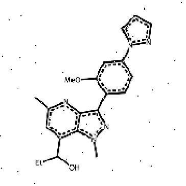 CCC(O)c1cc(C)nc2c(-c3ccc(-n4cccn4)cc3OC)nn(C)c12